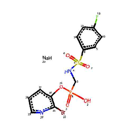 O=P(O)(CNS(=O)(=O)c1ccc(F)cc1)Oc1cccnc1Br.[NaH]